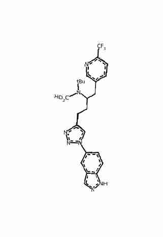 CC(C)(C)N(C(=O)O)C(CCc1cn(-c2ccc3[nH]ncc3c2)nn1)Cc1ccc(C(F)(F)F)nc1